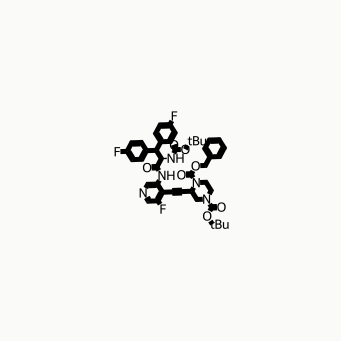 CC(C)(C)OC(=O)N[C@H](C(=O)Nc1cncc(F)c1C#CC1CN(C(=O)OC(C)(C)C)CCN1C(=O)OCc1ccccc1)C(c1ccc(F)cc1)c1ccc(F)cc1